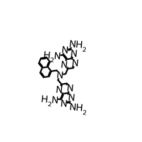 Nc1nc(N)c2nc(CN(Cc3cnc4nc(N)nc(N)c4n3)Cc3cccc4ccccc34)cnc2n1